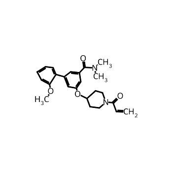 C=CC(=O)N1CCC(Oc2cc(C(=O)N(C)C)cc(-c3ccccc3OC)c2)CC1